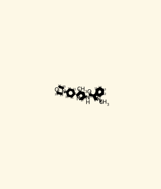 Cc1cc(NC(=O)c2cn(C)c3ccccc23)cnc1[C@H]1CC[C@H](N2CCOCC2)CC1